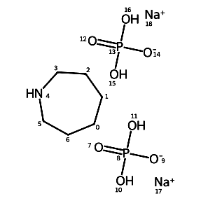 C1CCCNCC1.O=P([O-])(O)O.O=P([O-])(O)O.[Na+].[Na+]